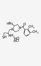 CCCC[C@H]1CN(C(=O)c2cccc(C)c2C)CCN1C[C@@H](N)CS.Cl.Cl